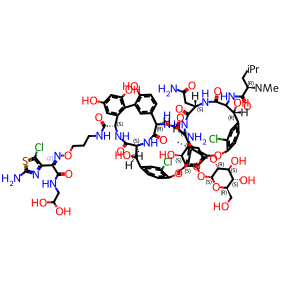 CN[C@H](CC(C)C)C(=O)NC1C(=O)N[C@@H](CC(N)=O)C(=O)N[C@H]2C(=O)N[C@H]3C(=O)N[C@H](C(=O)N[C@H](C(=O)NCCCO/N=C(\C(=O)NCC(O)O)c4nc(N)sc4Cl)c4cc(O)cc(O)c4-c4cc3ccc4O)[C@H](O)c3ccc(c(Cl)c3)Oc3cc2cc(c3O[C@@H]2O[C@H](CO)[C@@H](O)[C@H](O)[C@H]2O[C@H]2C[C@](C)(N)[C@H](O)[C@H](C)O2)Oc2ccc(cc2Cl)[C@H]1O